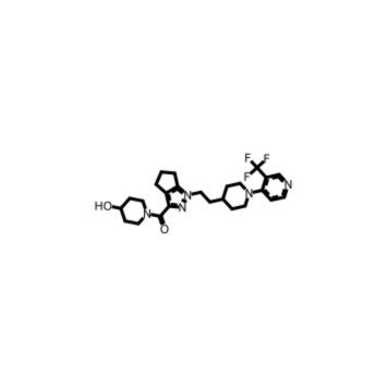 O=C(c1nn(CCC2CCN(c3ccncc3C(F)(F)F)CC2)c2c1CCC2)N1CCC(O)CC1